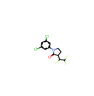 O=C1C(C(F)C(F)F)CCN1c1cc(Cl)cc(Cl)c1